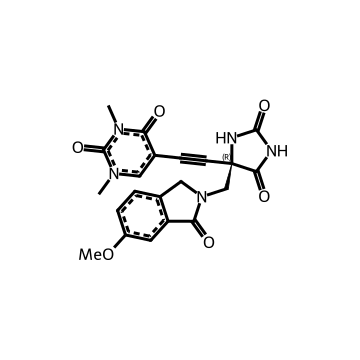 COc1ccc2c(c1)C(=O)N(C[C@@]1(C#Cc3cn(C)c(=O)n(C)c3=O)NC(=O)NC1=O)C2